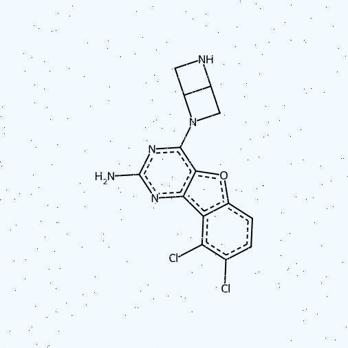 Nc1nc(N2CC3NCC32)c2oc3ccc(Cl)c(Cl)c3c2n1